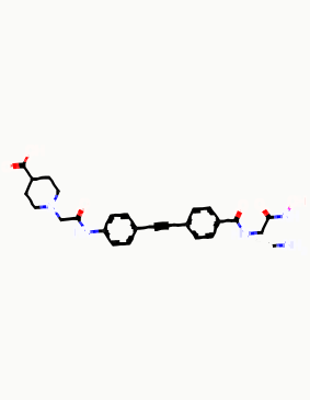 NC[C@H](NC(=O)c1ccc(C#Cc2ccc(NC(=O)CN3CCC(C(=O)O)CC3)cc2)cc1)C(=O)NO